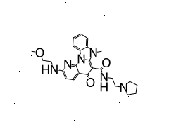 COCCNc1ccc2c(=O)c(C(=O)NCCN3CCCC3)c3n(C)c4ccccc4n3c2n1